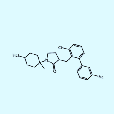 CC(=O)c1cccc(-c2cccc(Cl)c2CC2CCN(C3(C)CCC(O)CC3)C2=O)c1